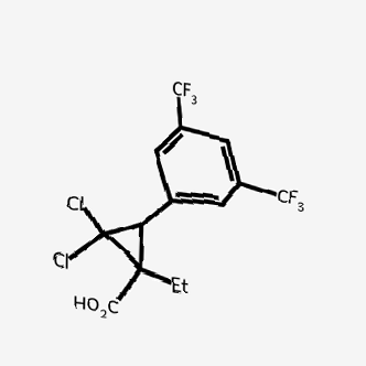 CCC1(C(=O)O)C(c2cc(C(F)(F)F)cc(C(F)(F)F)c2)C1(Cl)Cl